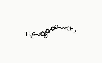 CCCCCCCOc1ccc(-c2ccc([C@@H]3CC[C@@H](CCCC)CC3=O)cc2)cc1